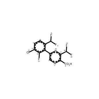 O=C(O)c1ncc(-c2c(C(F)F)ccc(Cl)c2F)nc1C(F)F